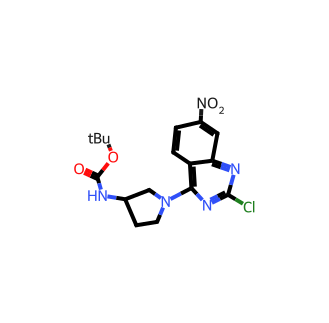 CC(C)(C)OC(=O)NC1CCN(c2nc(Cl)nc3cc([N+](=O)[O-])ccc23)C1